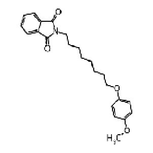 COc1ccc(OCCCCCCCCN2C(=O)c3ccccc3C2=O)cc1